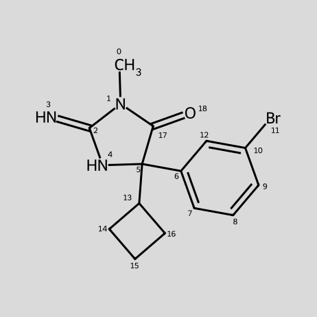 CN1C(=N)NC(c2cccc(Br)c2)(C2CCC2)C1=O